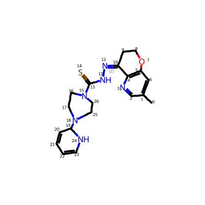 Cc1cnc2c(c1)OCC/C2=N/NC(=S)N1CCN(C2C=CC=CN2)CC1